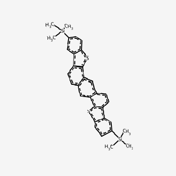 C[Si](C)(C)c1ccc2sc3c4cc5ccc6c7cc([Si](C)(C)C)ccc7sc6c5cc4ccc3c2c1